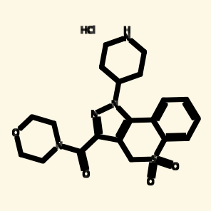 Cl.O=C(c1nn(C2CCNCC2)c2c1CS(=O)(=O)c1ccccc1-2)N1CCOCC1